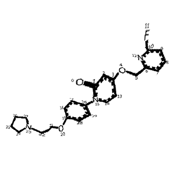 O=c1cc(OCc2cccc(F)n2)ccn1-c1ccc(OCCN2CCCC2)cc1